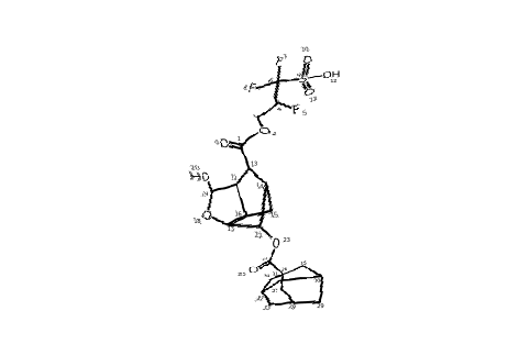 O=C(OCC(F)C(F)(F)S(=O)(=O)O)C1C2CC3C(OC(O)C31)C2OC(=O)C12CC3CC(CC(C3)C1)C2